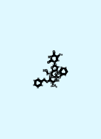 C[C@H](N[P@@](=O)(Oc1ccccc1)O[C@H](CO)[C@H]1O[C@@H](n2cc(F)c(=O)[nH]c2=O)C[C@@H]1O)C(=O)OCc1ccccc1